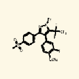 CCn1nc(-c2ccc(S(C)(=O)=O)cc2)c(-c2ccc(OC)c(F)c2)c1C(F)(F)C(F)(F)F